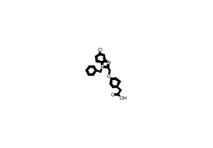 O=C(O)Cc1ccc(OCc2nc3cc(Cl)ccc3n2Cc2ccccc2)cc1